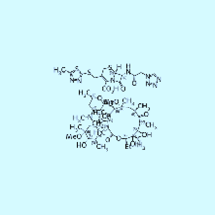 CC[C@H]1OC(=O)[C@H](C)[C@@H](O[C@H]2C[C@@](C)(OC)[C@@H](O)[C@H](C)O2)C(C)[C@@H](O[C@@H]2O[C@H](C)C[C@H](N(C)C)[C@H]2O)[C@](C)(OC)C[C@@H](C)C(=O)[C@H](C)[C@@H](O)[C@]1(C)O.Cc1nnc(SCC2=C(C(=O)O)N3C(=O)[C@@H](NC(=O)Cn4cnnn4)[C@H]3SC2)s1